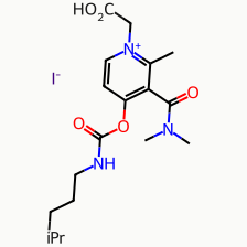 Cc1c(C(=O)N(C)C)c(OC(=O)NCCCC(C)C)cc[n+]1CC(=O)O.[I-]